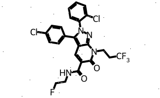 O=C(NCCF)c1cc2c(-c3ccc(Cl)cc3)n(-c3ccccc3Cl)nc2n(CCC(F)(F)F)c1=O